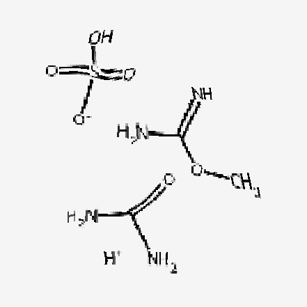 COC(=N)N.NC(N)=O.O=S(=O)([O-])O.[H+]